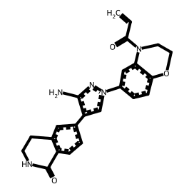 C=CC(=O)N1CCOc2ccc(-n3cc(-c4ccc5c(c4)CCNC5=O)c(N)n3)cc21